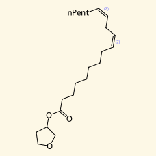 CCCCC/C=C\C/C=C\CCCCCCCC(=O)OC1CCOC1